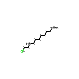 CCCCCCCCCCCC[CH2][InH][CH2]CCl